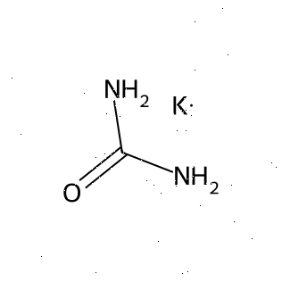 NC(N)=O.[K]